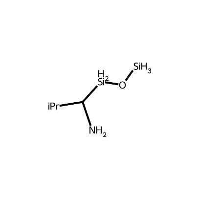 CC(C)C(N)[SiH2]O[SiH3]